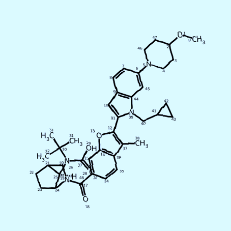 COC1CCN(c2ccc3cc(-c4oc5cc(C(=O)N6CC7CCC6[C@@H]7N(C(=O)O)C(C)(C)C)ccc5c4C)n(CC4CC4)c3c2)CC1